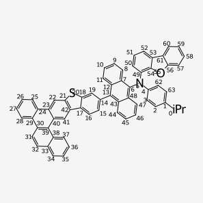 CC(C)c1ccc(N(c2c3ccccc3c(-c3ccc4c(c3)sc3cc5c6ccccc6c6ccc7ccccc7c6c5cc34)c3ccccc23)c2cccc3c2oc2ccccc23)cc1